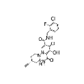 C#C[C@@H]1CCN2[C@@H](C1)N(C)C(=O)c1c(O)c(=O)c(C(=O)NCc3cccc(Cl)c3F)cn12